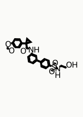 O=C(Nc1cccc(-c2ccc(S(=O)(=O)NCCO)cc2)c1)C1(c2ccc3c(c2)OCO3)CC1